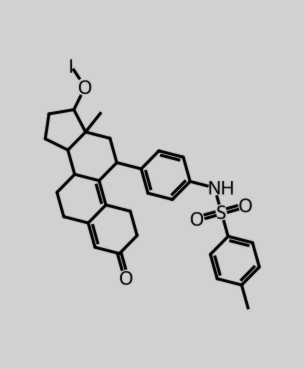 Cc1ccc(S(=O)(=O)Nc2ccc(C3CC4(C)C(OI)CCC4C4CCC5=CC(=O)CCC5=C34)cc2)cc1